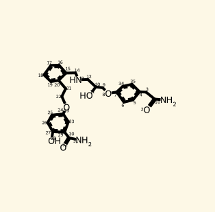 NC(=O)Cc1ccc(OCC(O)CNCc2ccccc2CCOc2ccc(O)c(C(N)=O)c2)cc1